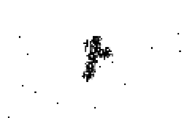 O[C@H](CNC(c1cccc(Oc2cccc(OC(F)(F)C(F)F)c2)c1)c1ccc(C(F)(F)F)cc1F)C(F)(F)F